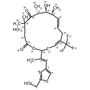 C/C(=C\c1csc(CO)n1)C1C/C=C(/C(F)(F)F)C/C=C/[C@H](C)[C@H](O)[C@@H](C)C(=O)C(C)(C)[C@@H](O)CC(=O)O1